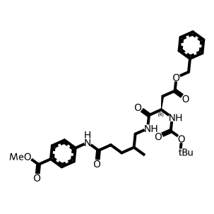 COC(=O)c1ccc(NC(=O)CCC(C)CNC(=O)[C@@H](CC(=O)OCc2ccccc2)NC(=O)OC(C)(C)C)cc1